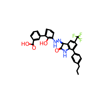 CCCc1ccc(-c2cc(C(F)(F)F)cc3c2NC(=O)C3=NNc2cccc(-c3cccc(C(=O)O)c3)c2O)cc1